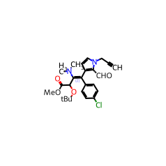 C#CCn1ccc(/C(=C(/C(OC(C)(C)C)C(=O)OC)N(C)C)c2ccc(Cl)cc2)c1C=O